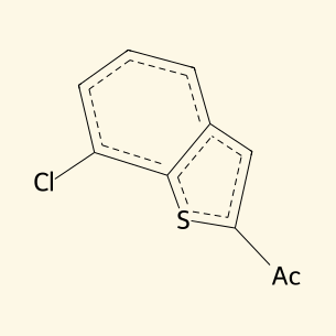 CC(=O)c1cc2cccc(Cl)c2s1